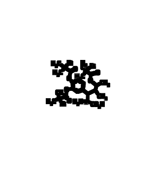 CCC(C)(C)C(=O)Oc1ccc(C(C(C)C(C)OC(=O)C(C)(C)CC)[C@H](N)C(=O)O)cc1OC(=O)C(C)(C)CC